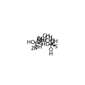 C.CCC.CCCCC.OP(O)(O)=S.OP(O)(O)=S.[Zn]